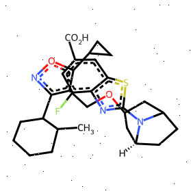 CC1CCCCC1c1noc(C2CC2)c1COC1CC2CC[C@@H](C1)N2c1nc2c(F)cc(C(=O)O)cc2s1